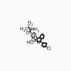 CC(C)C(N)C(=O)N1CCN(c2nnc(-c3ccc(Cl)cc3)c3ccccc23)[C@@H](C)C1.Cl